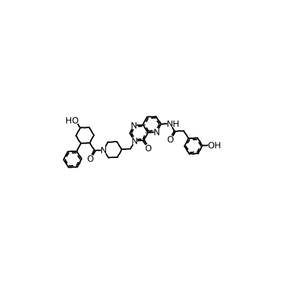 O=C(Cc1cccc(O)c1)Nc1ccc2ncn(CC3CCN(C(=O)C4CCC(O)CC4c4ccccc4)CC3)c(=O)c2n1